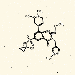 CO/N=c1\[nH]c2c(C3=CCN(C)[C@H](C)C3)cc(S(=O)(=O)NC3(C)CC3)cc2c(=O)n1Cc1cnn(C)c1